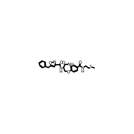 CSCCNC(=O)c1ccc2c(c1)NC(=O)[C@@H](NC(=O)c1cc(Cc3ccccc3)on1)CO2